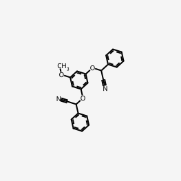 COc1cc(OC(C#N)c2ccccc2)cc(OC(C#N)c2ccccc2)c1